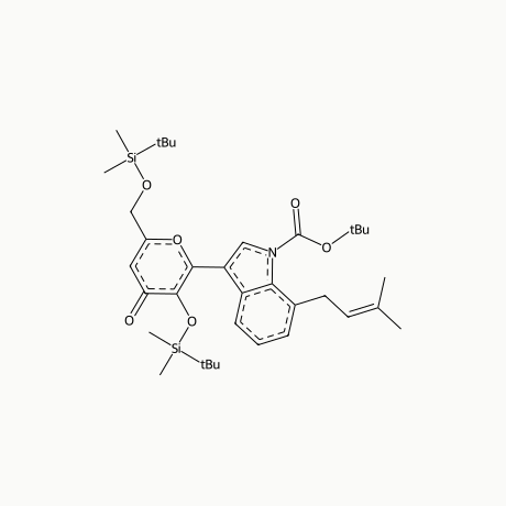 CC(C)=CCc1cccc2c(-c3oc(CO[Si](C)(C)C(C)(C)C)cc(=O)c3O[Si](C)(C)C(C)(C)C)cn(C(=O)OC(C)(C)C)c12